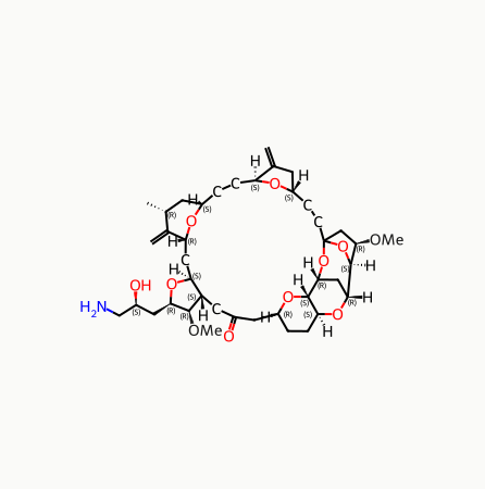 C=C1C[C@@H]2CCC34C[C@@H](OC)[C@H](O3)[C@H]3C[C@@H](O4)[C@H]4O[C@H](CC[C@@H]4O3)CC(=O)C[C@@H]3[C@@H](OC)[C@@H](C[C@H](O)CN)O[C@H]3C[C@H]3O[C@@H](CC[C@@H]1O2)C[C@@H](C)C3=C